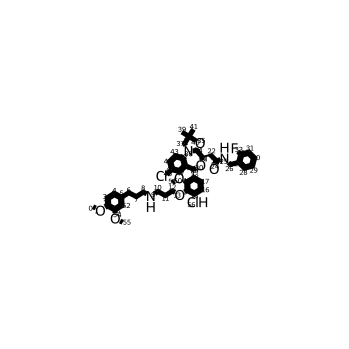 COc1ccc(CCCNCCCOc2cccc([C@H]3O[C@H](CC(=O)NCc4ccccc4F)C(=O)N(CC(C)(C)C)c4ccc(Cl)cc43)c2OC)cc1OC.Cl